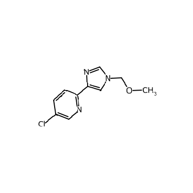 COCn1cnc(-c2ccc(Cl)cn2)c1